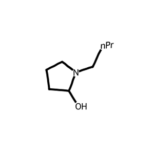 CCCCN1CCCC1O